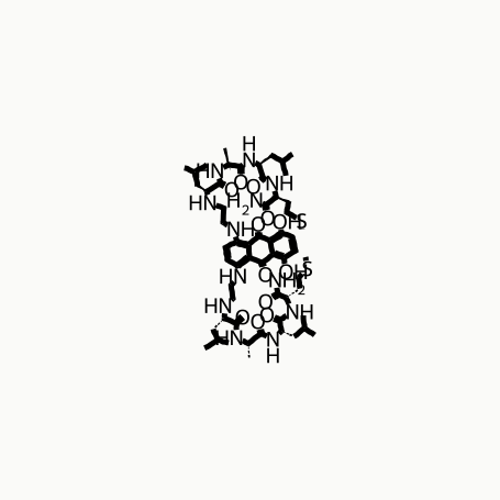 CSCC[C@H](NC(=O)[C@H](CC(C)C)NC(=O)[C@H](C)NC(=O)[C@H](CC(C)C)NCCNc1ccc(NCCN[C@@H](CC(C)C)C(=O)N[C@@H](C)C(=O)N[C@@H](CC(C)C)C(=O)N[C@@H](CCSC)C(N)=O)c2c1C(=O)c1c(O)ccc(O)c1C2=O)C(N)=O